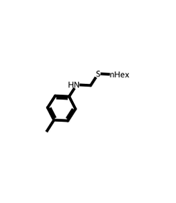 CCCCCCSCNc1ccc(C)cc1